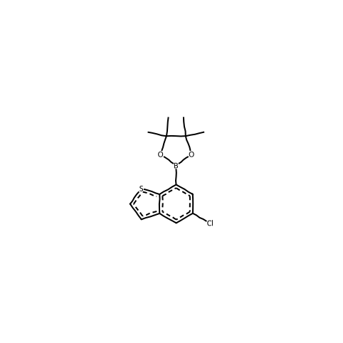 CC1(C)OB(c2cc(Cl)cc3ccsc23)OC1(C)C